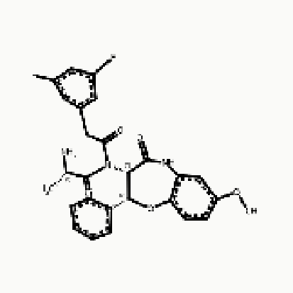 COc1ccc2c(c1)NC(=O)[C@@H](N(C(=O)Cc1cc(F)cc(F)c1)C(=O)[C@H](C)N)[C@@H](c1ccccc1)O2